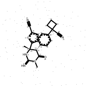 CN1C(=N)N[C@](C)(c2ccc(C#N)s2)[C@H](c2ccc(C3(C#N)CCC3)cc2)C1=O